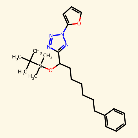 CC(C)(C)[Si](C)(C)OC(CCCCCCc1ccccc1)c1nnn(-c2ccco2)n1